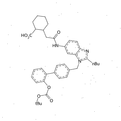 CCCCc1nc2ccc(NC(=O)CC3CCCCC3C(=O)O)cc2n1Cc1ccc(-c2ccccc2OC(=O)OC(C)(C)C)cc1